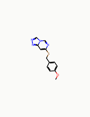 COc1ccc(CSc2cc3nncn3cn2)cc1